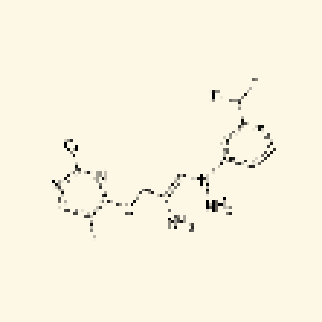 Cc1cnc(Cl)nc1OC/C(N)=C/N(N)c1cccc(C(F)F)c1